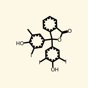 Cc1cc(C2(c3cc(I)c(O)c(I)c3)OC(=O)c3ccccc32)cc(I)c1O